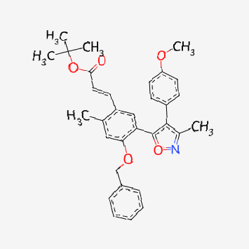 COc1ccc(-c2c(C)noc2-c2cc(/C=C/C(=O)OC(C)(C)C)c(C)cc2OCc2ccccc2)cc1